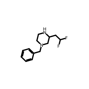 FC(F)CC1CN(Cc2ccccc2)CCN1